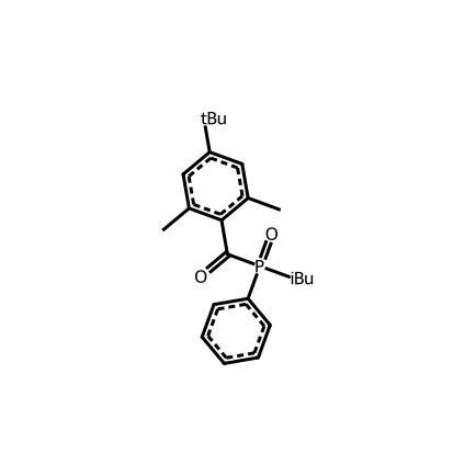 CCC(C)P(=O)(C(=O)c1c(C)cc(C(C)(C)C)cc1C)c1ccccc1